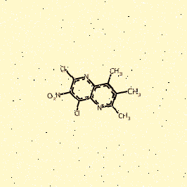 Cc1nc2c(Cl)c([N+](=O)[O-])c(Cl)nc2c(C)c1C